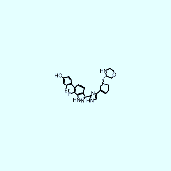 CCc1cc(O)ccc1-c1ccc2c(-c3nc(C4=CCCN(C[C@H]5COCCN5)C4)c[nH]3)n[nH]c2c1F